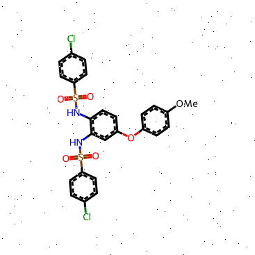 COc1ccc(Oc2ccc(NS(=O)(=O)c3ccc(Cl)cc3)c(NS(=O)(=O)c3ccc(Cl)cc3)c2)cc1